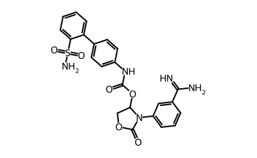 N=C(N)c1cccc(N2C(=O)OCC2OC(=O)Nc2ccc(-c3ccccc3S(N)(=O)=O)cc2)c1